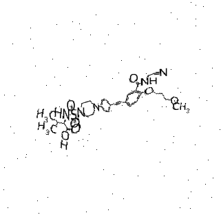 COCCCOc1ccc(C#Cc2ccc(N3CCN(S(=O)(=O)N[C@@H](C(=O)O)C(C)C)CC3)cc2)cc1C(=O)NCC#N